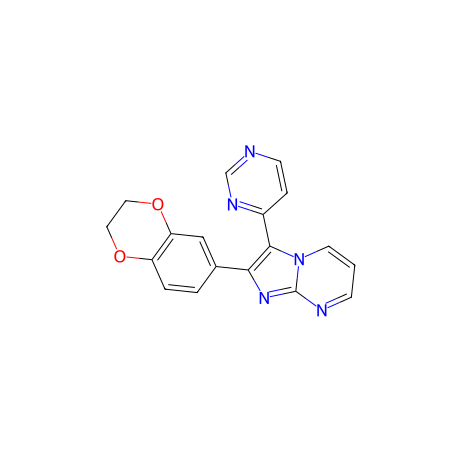 c1cnc2nc(-c3ccc4c(c3)OCCO4)c(-c3ccncn3)n2c1